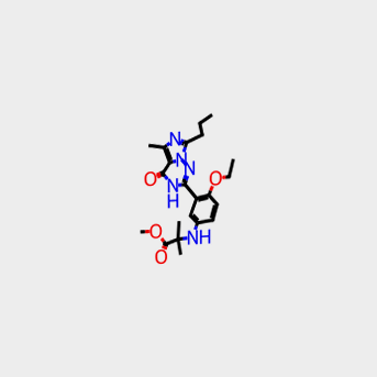 CCCc1nc(C)c2c(=O)[nH]c(-c3cc(NC(C)(C)C(=O)OC)ccc3OCC)nn12